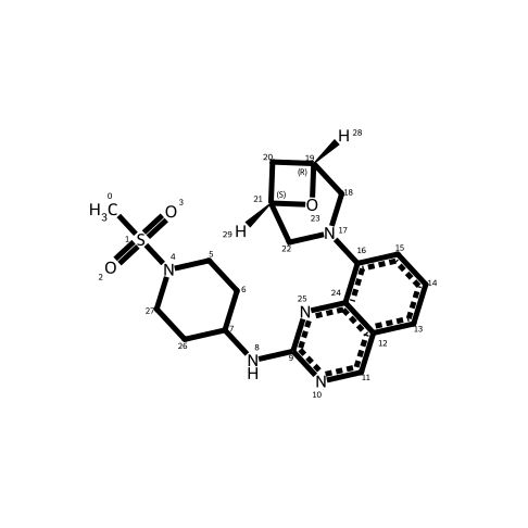 CS(=O)(=O)N1CCC(Nc2ncc3cccc(N4C[C@H]5C[C@@H](C4)O5)c3n2)CC1